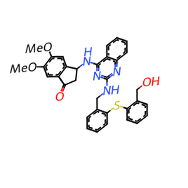 COc1cc2c(cc1OC)C(Nc1nc(NCc3ccccc3Sc3ccccc3CO)nc3ccccc13)CC2=O